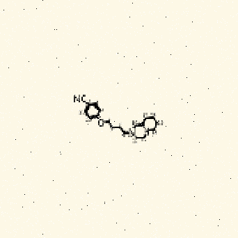 N#Cc1ccc(OCCCCN2CCN3CCCCC3C2)cc1